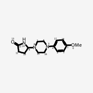 COc1ccc(N2CCN(C3CCC(=O)N3)CC2)cc1